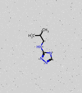 CC(C)CNC1=NN=C[N]1